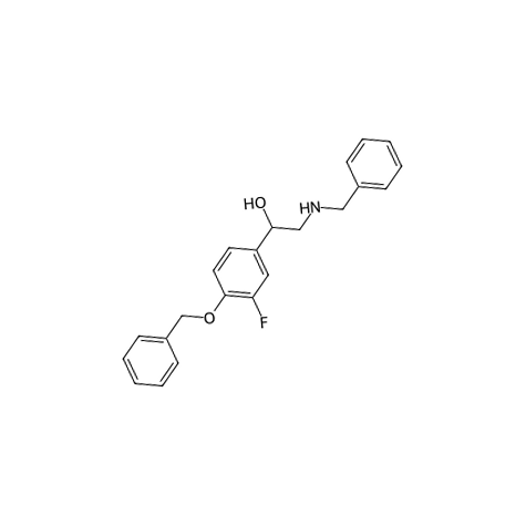 OC(CNCc1ccccc1)c1ccc(OCc2ccccc2)c(F)c1